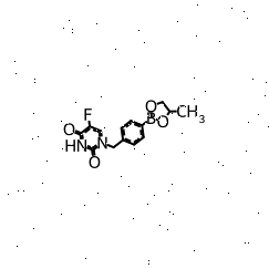 CC1COB(c2ccc(Cn3cc(F)c(=O)[nH]c3=O)cc2)O1